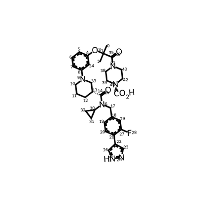 CC(C)(Oc1cccc(N2CCC[C@@H](C(=O)N(Cc3ccc(-c4cn[nH]c4)c(F)c3)C3CC3)C2)c1)C(=O)N1CCN(C(=O)O)CC1